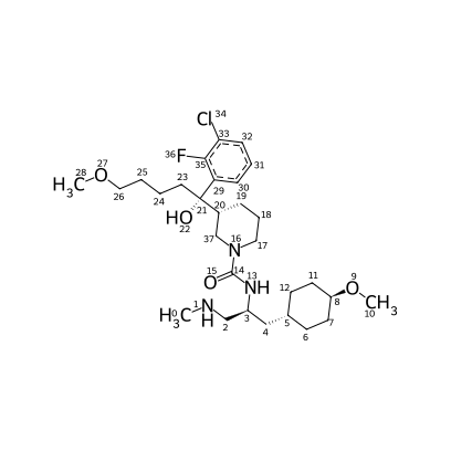 CNC[C@H](C[C@H]1CC[C@H](OC)CC1)NC(=O)N1CCC[C@@H]([C@@](O)(CCCCOC)c2cccc(Cl)c2F)C1